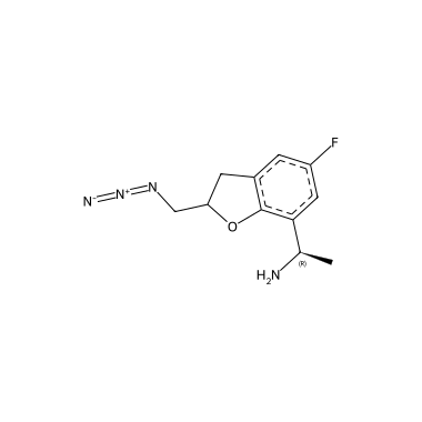 C[C@@H](N)c1cc(F)cc2c1OC(CN=[N+]=[N-])C2